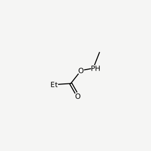 CCC(=O)OPC